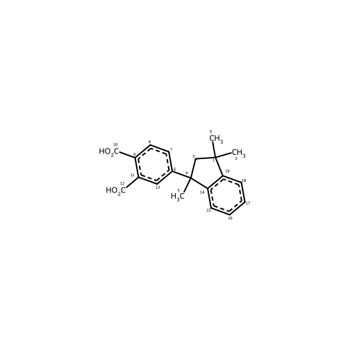 CC1(C)CC(C)(c2ccc(C(=O)O)c(C(=O)O)c2)c2ccccc21